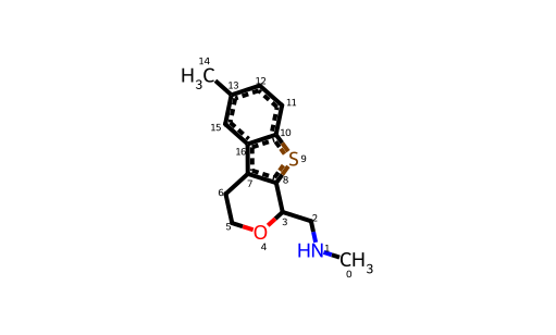 CNCC1OCCc2c1sc1ccc(C)cc21